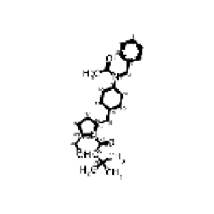 CC(=O)N(Cc1ccccc1)C1CCC(C[C@@H]2CC[C@H](CO)N2C(=O)OC(C)(C)C)CC1